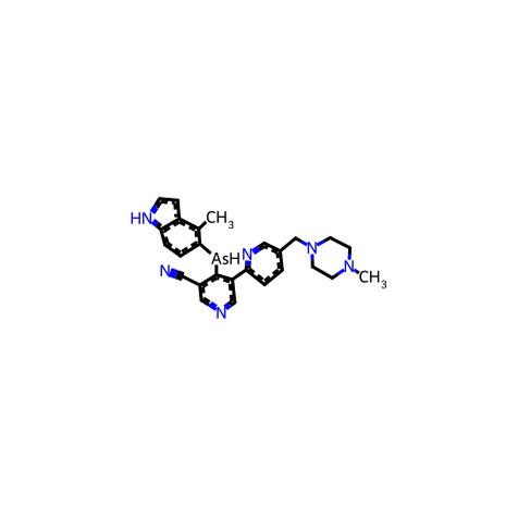 Cc1c([AsH]c2c(C#N)cncc2-c2ccc(CN3CCN(C)CC3)cn2)ccc2[nH]ccc12